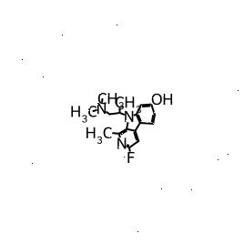 Cc1nc(F)cc2c3ccc(O)cc3n(C(C)CN(C)C)c12